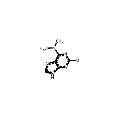 CN(C)c1nc(Cl)nc2[nH]cnc12